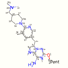 CCC[C@H](C)Oc1nc(N)c2ncc(Cc3cnc(N4CCC(CN(C)C)CC4)c(C)c3)n2n1